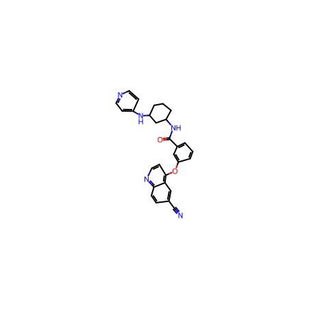 N#Cc1ccc2nccc(Oc3cccc(C(=O)NC4CCCC(Nc5ccncc5)C4)c3)c2c1